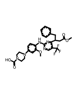 COC(=O)CC(Cc1ccccc1)c1nc(Nc2ccc(N3CCN(C(=O)O)CC3)cc2OC)ncc1C(F)(F)F